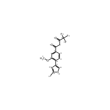 COc1cc(C(=O)CC(=O)C(F)(F)F)ccc1-c1coc(I)n1